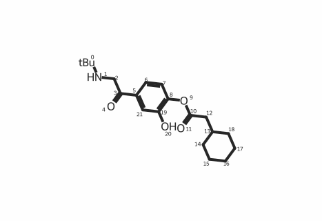 CC(C)(C)NCC(=O)c1ccc(OC(=O)CC2CCCCC2)c(O)c1